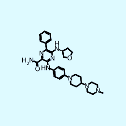 CN1CCN(C2CCN(c3ccc(Nc4nc(N[C@H]5CCOC5)c(-c5ccccc5)nc4C(N)=O)cc3)CC2)CC1